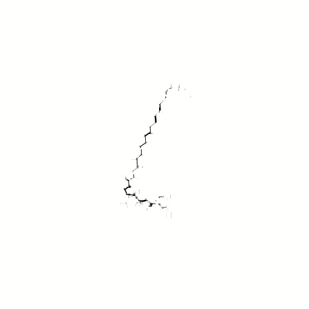 CCCC=CC=CCC=CCCCCCCCC(=O)c1ccc(C(C)=CC(=O)N(CC)CC)o1